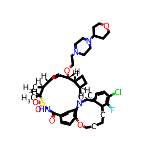 C[C@@H]1[C@@H](C)S(=O)(=O)NC(=O)c2ccc3c(c2)N(C[C@@H]2CC[C@H]2[C@@H](OCCN2CCN(C4CCOCC4)CC2)C2=C[C@H]1C2)CC1(C)C=CC(Cl)=C(F)C1CCCCO3